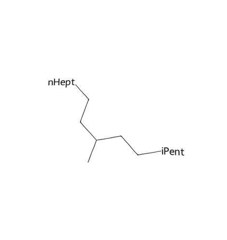 CCCCCCCCCC(C)CCC(C)CCC